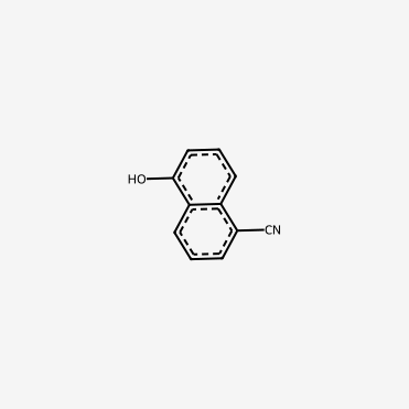 N#Cc1cccc2c(O)cccc12